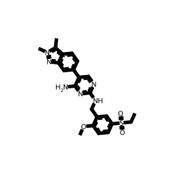 CCS(=O)(=O)c1ccc(OC)c(CNc2ncc(-c3ccc4c(C)n(C)nc4c3)c(N)n2)c1